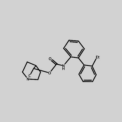 CCc1ccccc1-c1ccccc1NC(=O)OC1CN2CCC1CC2